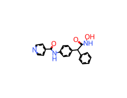 O=C(Nc1ccc(C(C(=O)NO)c2ccccc2)cc1)c1ccncc1